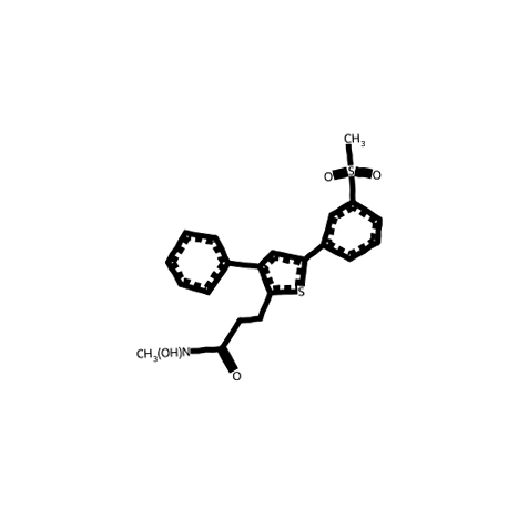 CN(O)C(=O)CCc1sc(-c2cccc(S(C)(=O)=O)c2)cc1-c1ccccc1